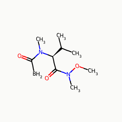 BC(=O)N(C)[C@H](C(=O)N(C)OC)C(C)C